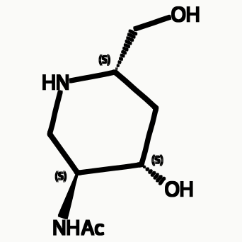 CC(=O)N[C@H]1CN[C@H](CO)C[C@@H]1O